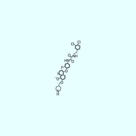 COc1c(OCC2CCNCC2)ccc2c(Oc3ccc(NC(=O)C(=O)NCCc4ccc(Cl)c(Cl)c4)cc3F)ccnc12